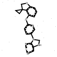 c1cc2c(c(Oc3ccc(N4CNc5cncnc54)cn3)c1)C1(CC1)CO2